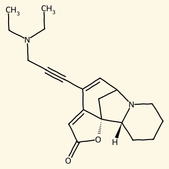 CCN(CC)CC#CC1=CC2C[C@@]3(OC(=O)C=C13)[C@H]1CCCCN21